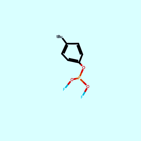 CC(C)(C)c1ccc(OP(OF)OF)cc1